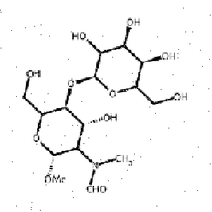 CO[C@@H]1OC(CO)[C@@H](O[C@@H]2OC(CO)[C@H](O)[C@H](O)C2O)[C@H](O)C1N(C)C=O